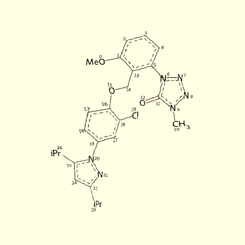 COc1cccc(-n2nnn(C)c2=O)c1COc1ccc(-n2nc(C(C)C)cc2C(C)C)cc1Cl